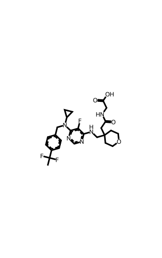 CC(F)(F)c1ccc(CN(c2ncnc(NCC3(CC(=O)NCC(=O)O)CCOCC3)c2F)C2CC2)cc1